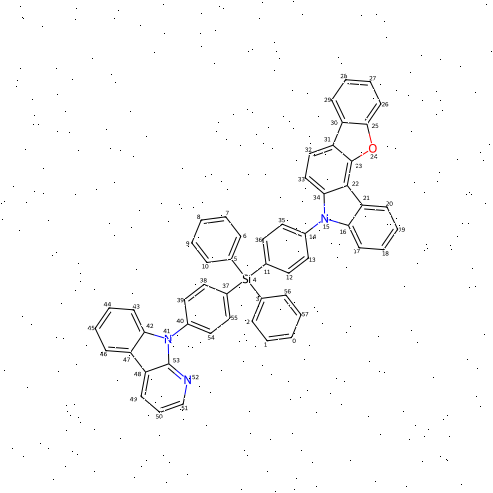 c1ccc([Si](c2ccccc2)(c2ccc(-n3c4ccccc4c4c5oc6ccccc6c5ccc43)cc2)c2ccc(-n3c4ccccc4c4cccnc43)cc2)cc1